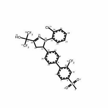 CS(=O)(=O)c1ccc(-c2ccc(C3CC(C(O)(C(F)(F)F)C(F)(F)F)=NN3c3ccccc3Cl)cc2)c(C(F)(F)F)c1